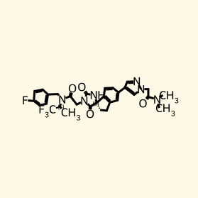 C[C@H](N(Cc1ccc(F)cc1)C(=O)CN1C(=O)N[C@]2(CCc3cc(-c4cnn(CC(=O)N(C)C)c4)ccc32)C1=O)C(F)(F)F